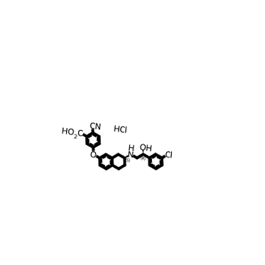 Cl.N#Cc1ccc(Oc2ccc3c(c2)C[C@@H](NC[C@H](O)c2cccc(Cl)c2)CC3)cc1C(=O)O